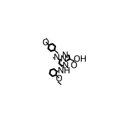 CCOc1ccccc1Nc1cc(N(C)Cc2ccc(OC)cc2)n2ncc(C(=O)O)c2n1